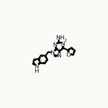 Nc1nc(-c2ccco2)c2ncn(Cc3ccc4[nH]ccc4c3)c2n1